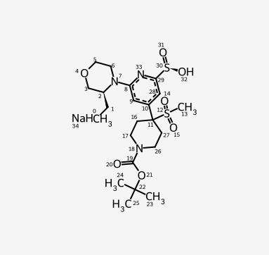 CC[C@H]1COCCN1c1cc(C2(S(C)(=O)=O)CCN(C(=O)OC(C)(C)C)CC2)cc([S@@](=O)O)n1.[NaH]